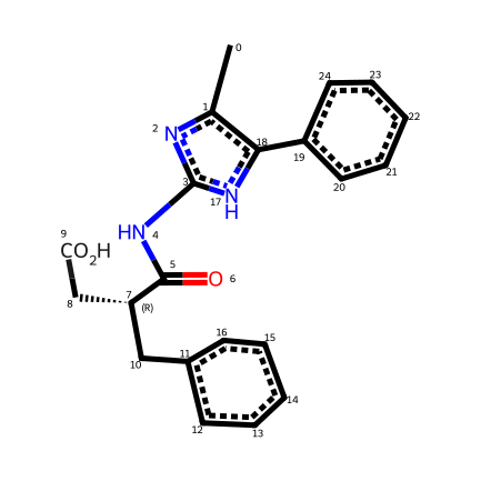 Cc1nc(NC(=O)[C@@H](CC(=O)O)Cc2ccccc2)[nH]c1-c1ccccc1